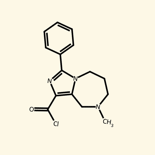 CN1CCCn2c(-c3ccccc3)nc(C(=O)Cl)c2C1